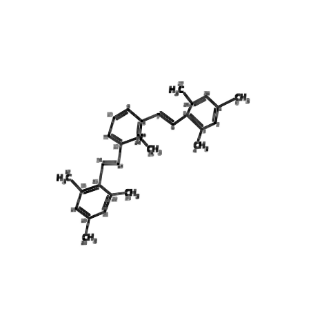 Cc1cc(C)c(/C=C/c2cccc(/C=C/c3c(C)cc(C)cc3C)[n+]2C)c(C)c1